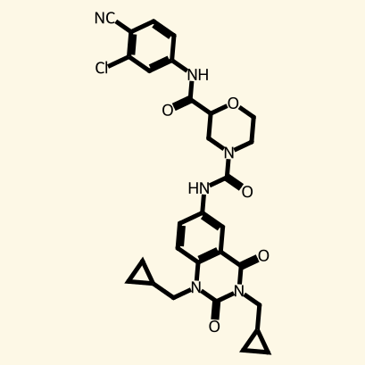 N#Cc1ccc(NC(=O)C2CN(C(=O)Nc3ccc4c(c3)c(=O)n(CC3CC3)c(=O)n4CC3CC3)CCO2)cc1Cl